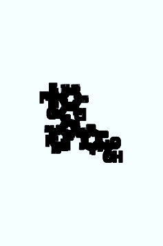 O=C(O)c1ccc(-n2cc(C(=O)c3c(Cl)cccc3C(F)(F)F)c3cncnc32)cc1